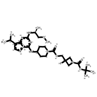 COC[C@H](C)Nc1nc(NC2CCN(C(=O)OCC3(F)CN(C(=O)OC(C)(C)C)C3)CC2)n2ncc(C(C)C)c2n1